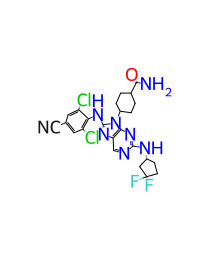 N#Cc1cc(Cl)c(Nc2nc3cnc(N[C@@H]4CCC(F)(F)C4)nc3n2C2CCC(C(N)=O)CC2)c(Cl)c1